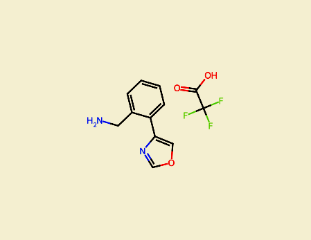 NCc1ccccc1-c1cocn1.O=C(O)C(F)(F)F